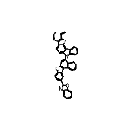 C=Cc1sc2c(ccc3c2c2ccccc2n3-c2cc3oc4ccc(-c5nc6ccccc6o5)cc4c3c3ccccc23)c1/C=C\C